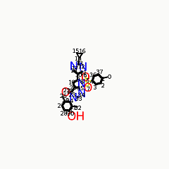 Cc1ccc(S(=O)(=O)n2c(-c3cnc(C4CC4)nc3)cc3c(=O)n(-c4c(C)ccc(O)c4C)cnc32)cc1